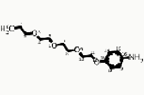 CCCOCCOCCOCCOc1ccc(N)cc1